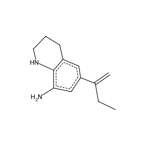 C=C(CC)c1cc(N)c2c(c1)CCCN2